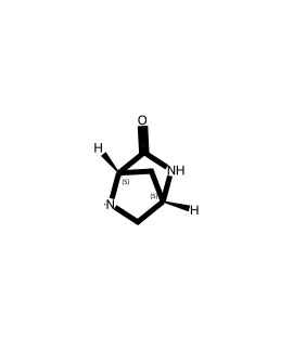 O=C1N[C@@H]2C[N][C@H]1C2